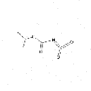 CC(C)OC(=O)N=S(=O)=O